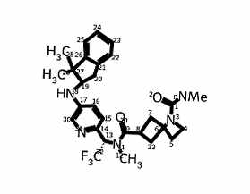 CNC(=O)N1CCC12CC(C(=O)N(C)[C@@H](c1ccc(NC3Cc4ccccc4C3(C)C)cn1)C(F)(F)F)C2